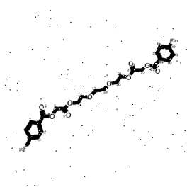 O=C(COC(=O)c1ccc(F)cc1)OCCOCCOCCOC(=O)COC(=O)c1ccc(F)cc1